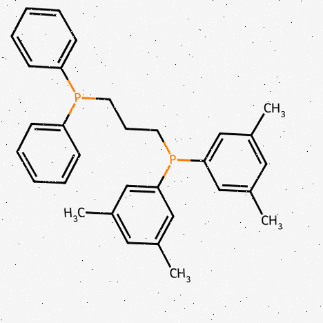 Cc1cc(C)cc(P(CCCP(c2ccccc2)c2ccccc2)c2cc(C)cc(C)c2)c1